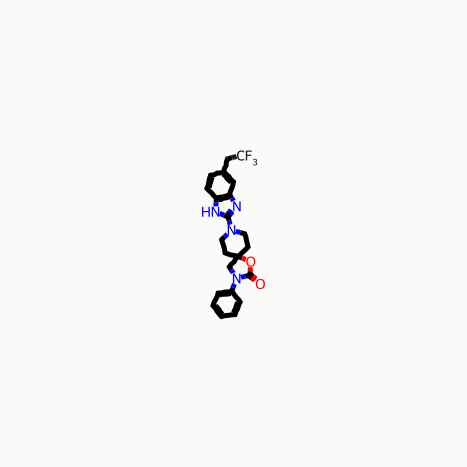 O=C1OC2(CCN(c3nc4cc(CC(F)(F)F)ccc4[nH]3)CC2)CN1c1ccccc1